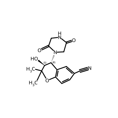 CC1(C)Oc2ccc(C#N)cc2[C@@H](N2CC(=O)NCC2=O)[C@@H]1O